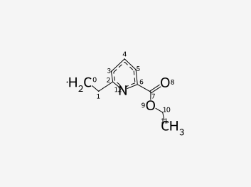 [CH2]Cc1cccc(C(=O)OCC)n1